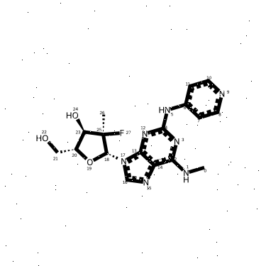 CNc1nc(Nc2ccncc2)nc2c1ncn2[C@@H]1O[C@H](CO)[C@@H](O)[C@@]1(C)F